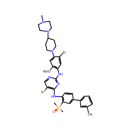 CCc1cc(Nc2ncc(Br)c(Nc3ccc(-c4cccc(C#N)c4)cc3P(C)(C)=O)n2)c(OC)cc1N1CCC(N2CCN(C)CC2)CC1